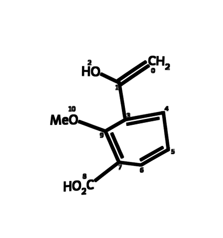 C=C(O)c1cccc(C(=O)O)c1OC